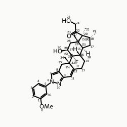 COc1cccc(-n2cc3c(n2)C=C2CC[C@H]4[C@@H]5C[C@@H](C)[C@](C)(C(=O)CO)[C@@]5(C)C[C@H](O)[C@]4(F)[C@@]2(C)C3)c1